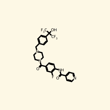 O=C(Nc1ccc(C(=O)N2CCN(Cc3ccc(C(O)(C(F)(F)F)C(F)(F)F)cc3)CC2)cc1F)c1ccncc1